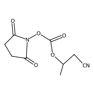 CC(CC#N)OC(=O)ON1C(=O)CCC1=O